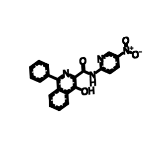 O=C(Nc1ccc([N+](=O)[O-])cn1)c1nc(-c2ccccc2)c2ccccc2c1O